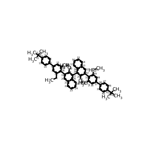 CCc1cc(-c2ccc(C(C)(C)C)cc2)cc(C)c1-c1cc2ccccc2c(-c2c(OC)c(-c3c(C)cc(-c4ccc(C(C)(C)C)cc4)cc3PC)cc3ccccc23)c1OC